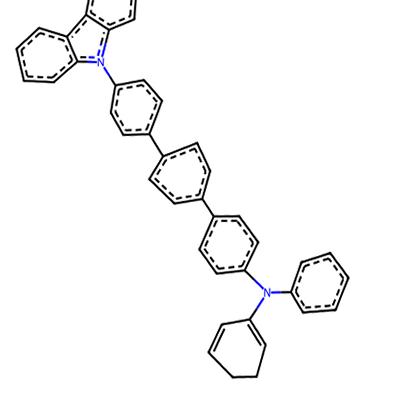 C1=CC(N(c2ccccc2)c2ccc(-c3ccc(-c4ccc(-n5c6ccccc6c6ccccc65)cc4)cc3)cc2)=CCC1